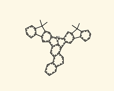 CC1(C)c2ccccc2-c2cc3c4cc5c6ccccc6ccc5c5c6cc7c(cc6n(c3cc21)c45)C(C)(C)c1ccccc1-7